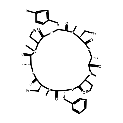 CC(C)CC1C(=O)O[C@H](Cc2ccc(I)cc2)C(=O)N(C)[C@@H](CC(C)C)C(=O)O[C@H](C)C(=O)N(C)C(CC(C)C)C(=O)O[C@H](Cc2ccccc2)C(=O)N(C)[C@@H](CC(C)C)C(=O)O[C@H](C)C(=O)N1C